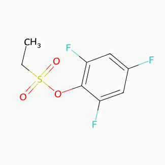 CCS(=O)(=O)Oc1c(F)cc(F)cc1F